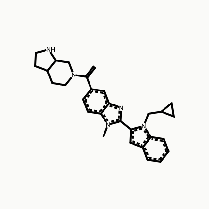 C=C(c1ccc2c(c1)nc(-c1cc3ccccc3n1CC1CC1)n2C)N1CCC2CCNC2C1